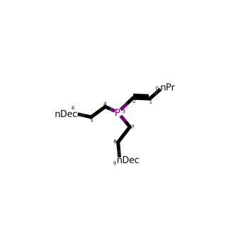 CCCC=CP(CCCCCCCCCCCC)CCCCCCCCCCCC